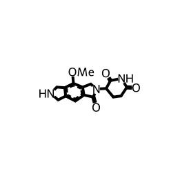 COc1c2c(cc3c1CN(C1CCC(=O)NC1=O)C3=O)CNC2